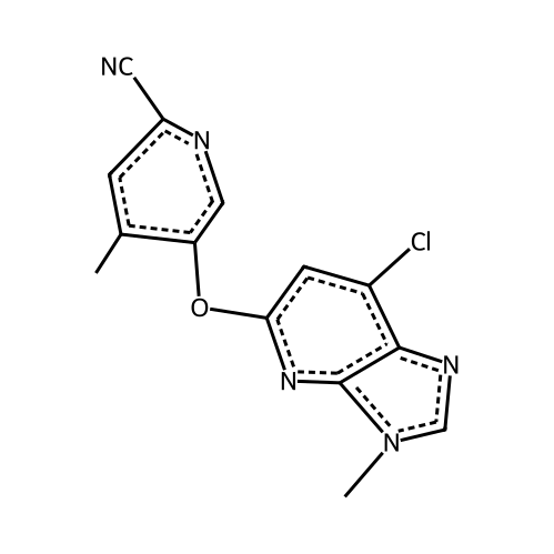 Cc1cc(C#N)ncc1Oc1cc(Cl)c2ncn(C)c2n1